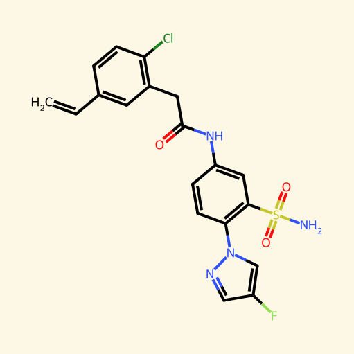 C=Cc1ccc(Cl)c(CC(=O)Nc2ccc(-n3cc(F)cn3)c(S(N)(=O)=O)c2)c1